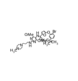 COc1nc(NCCCN2CCN(C)CC2)nc(OC)c1NC(=O)c1ccc(Oc2cc([Si](C)(C)C)ccc2Br)o1